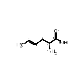 CC=CC[C@H](N)C(=O)O